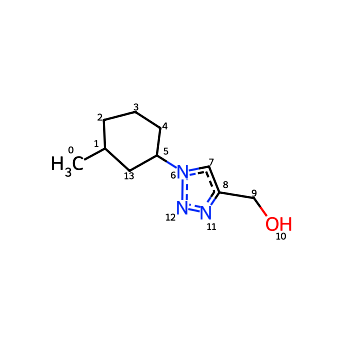 CC1CCCC(n2cc(CO)nn2)C1